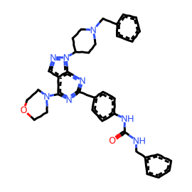 O=C(NCc1ccccc1)Nc1ccc(-c2nc(N3CCOCC3)c3cnn(C4CCN(Cc5ccccc5)CC4)c3n2)cc1